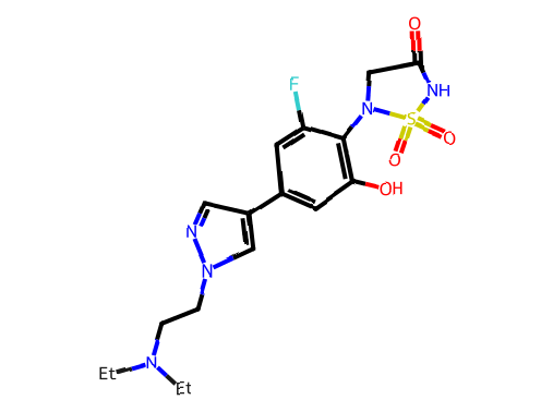 CCN(CC)CCn1cc(-c2cc(O)c(N3CC(=O)NS3(=O)=O)c(F)c2)cn1